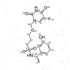 C[C@@H](NS(=O)(=O)CCCOCn1cc(F)c(=O)[nH]c1=O)c1cccc(O)c1